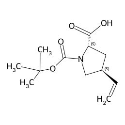 C=C[C@@H]1C[C@@H](C(=O)O)N(C(=O)OC(C)(C)C)C1